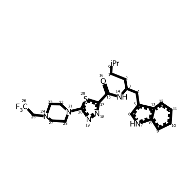 CC(C)CCC(Cc1c[nH]c2ccccc12)NC(=O)c1nnc(N2CCN(CC(F)(F)F)CC2)s1